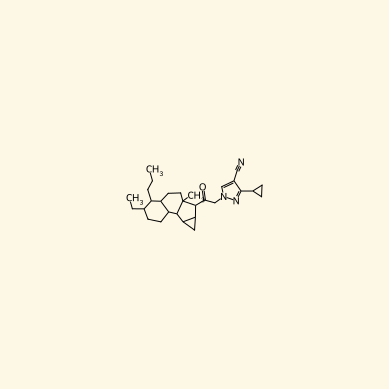 CCCC1C(CC)CCC2C1CCC1(C)C(C(=O)Cn3cc(C#N)c(C4CC4)n3)C3CC3C21